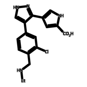 CCNCc1ccc(-c2c[nH]nc2-c2c[nH]c(C(=O)O)c2)cc1Cl